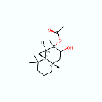 CC(=O)OC1(C)C(O)C[C@]2(C)CCCC(C)(C)[C@@]23C[C@@H]13